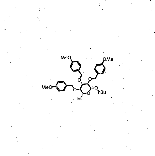 CCCCO[C@@H]1O[C@H](CC)[C@@H](OCc2ccc(OC)cc2)[C@H](OCc2ccc(OC)cc2)[C@H]1OCc1ccc(OC)cc1